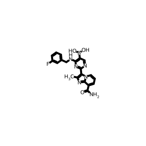 Cc1nc2c(C(N)=O)cccn2c1-c1ncc(B(O)O)c(NCc2cccc(F)c2)n1